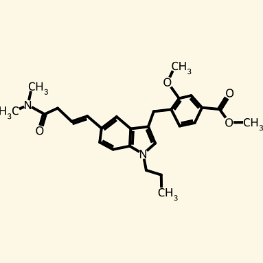 CCCn1cc(Cc2ccc(C(=O)OC)cc2OC)c2cc(/C=C/CC(=O)N(C)C)ccc21